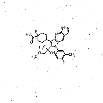 COCC(C)(C)c1c(C2CCC(F)(C(=O)O)CC2)c2nc3[nH]ncc3cc2n1-c1ccc(F)c(C)c1